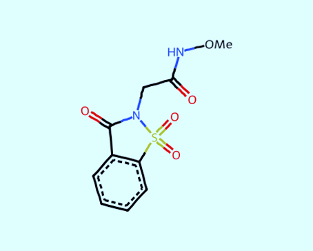 CONC(=O)CN1C(=O)c2ccccc2S1(=O)=O